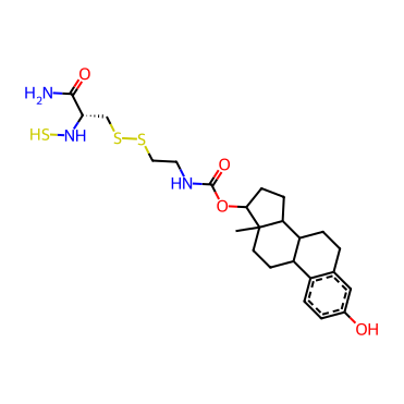 CC12CCC3c4ccc(O)cc4CCC3C1CCC2OC(=O)NCCSSC[C@H](NS)C(N)=O